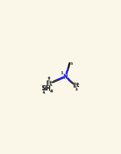 CCN(C)CC.[SiH4]